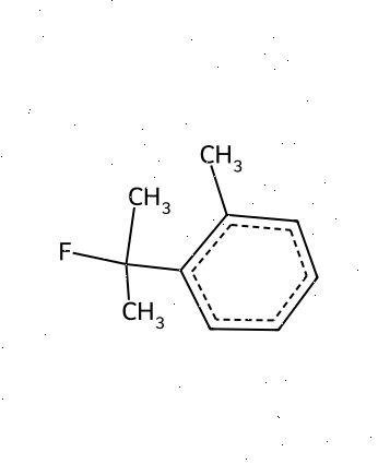 Cc1ccccc1C(C)(C)F